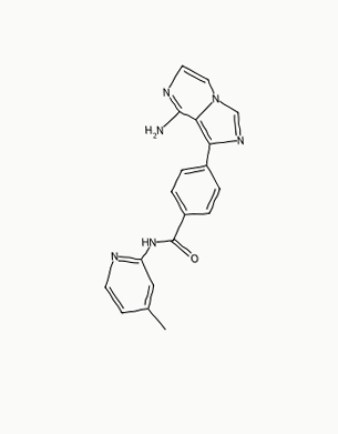 Cc1ccnc(NC(=O)c2ccc(-c3ncn4ccnc(N)c34)cc2)c1